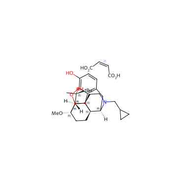 CO[C@@]12CC[C@@]3(C[C@@H]1[C@](C)(O)C(C)(C)C)[C@H]1Cc4ccc(O)c5c4[C@@]3(CCN1CC1CC1)[C@H]2O5.O=C(O)/C=C\C(=O)O